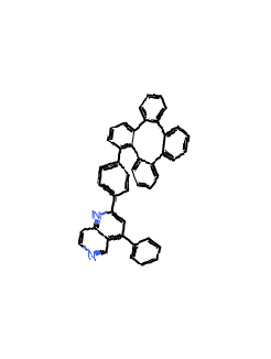 c1ccc(-c2cc(-c3ccc(-c4cccc5c4-c4ccccc4-c4ccccc4-c4ccccc4-5)cc3)nc3ccncc23)cc1